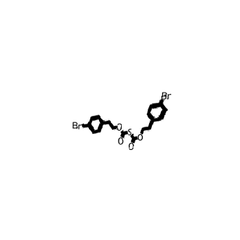 O=C(OCCc1ccc(Br)cc1)SC(=O)OCCc1ccc(Br)cc1